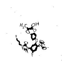 CC(Oc1ccc(Oc2cc(-n3nnn(CCCF)c3=O)c(F)cc2[N+](=O)[O-])cc1)C(=O)O